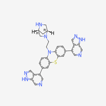 c1cc2c(cc1-c1cncc3[nH]ncc13)Sc1cc(-c3cncc4[nH]ncc34)ccc1N2CCN1C[C@H]2C[C@@H]1CN2